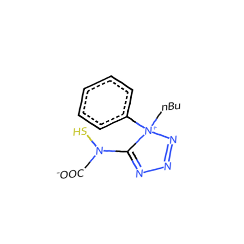 CCCC[N+]1(c2ccccc2)N=NN=C1N(S)C(=O)[O-]